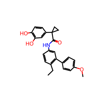 CCc1ccc(NC(=O)C2(c3ccc(O)c(O)c3)CC2)cc1-c1ccc(OC)cc1